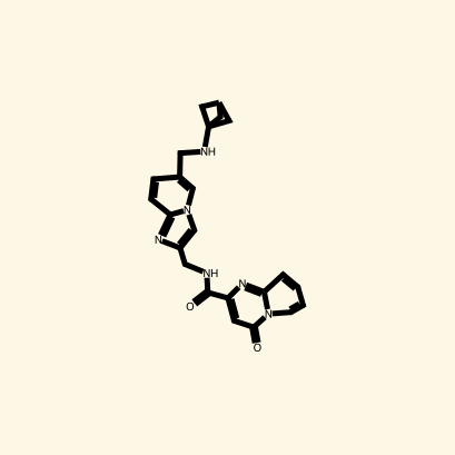 O=C(NCc1cn2cc(CNC34CC(C3)C4)ccc2n1)c1cc(=O)n2ccccc2n1